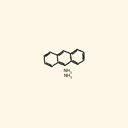 N.N.c1ccc2cc3ccccc3cc2c1